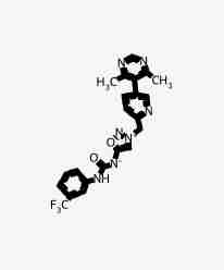 Cc1ncnc(C)c1-c1ccc(C[n+]2cc([N-]C(=O)Nc3cccc(C(F)(F)F)c3)on2)nc1